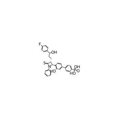 O=P(O)(O)c1ccc(-c2ccc([C@@H]3[C@@H](CC[C@H](O)c4ccc(F)cc4)C(=S)N3c3ccccc3)c(O)c2)cc1